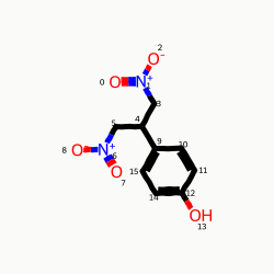 O=[N+]([O-])CC(C[N+](=O)[O-])c1ccc(O)cc1